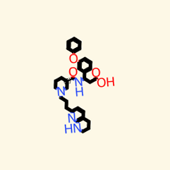 O=C(O)CC(NC(=O)[C@@H]1CCCN(CCCc2ccc3c(n2)NCCC3)C1)c1cccc(Oc2ccccc2)c1